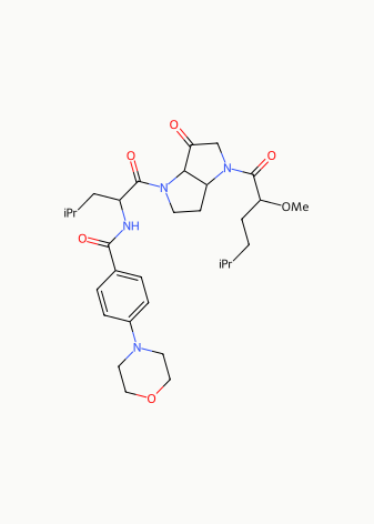 COC(CCC(C)C)C(=O)N1CC(=O)C2C1CCN2C(=O)C(CC(C)C)NC(=O)c1ccc(N2CCOCC2)cc1